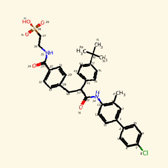 Cc1cc(-c2ccc(Cl)cc2)ccc1NC(=O)C(Cc1ccc(C(=O)NCCS(=O)(=O)O)cc1)c1ccc(C(C)(C)C)cc1